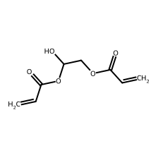 C=CC(=O)OCC(O)OC(=O)C=C